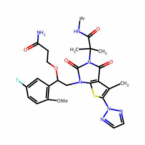 COc1ccc(F)cc1C(Cn1c(=O)n(C(C)(C)C(=O)NC(C)C)c(=O)c2c(C)c(-n3nccn3)sc21)OCCC(N)=O